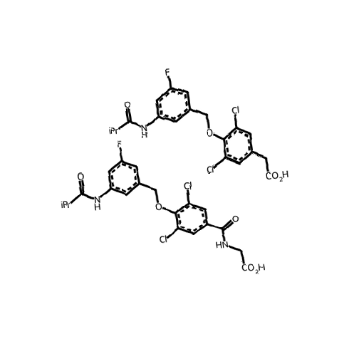 CC(C)C(=O)Nc1cc(F)cc(COc2c(Cl)cc(C(=O)NCC(=O)O)cc2Cl)c1.CC(C)C(=O)Nc1cc(F)cc(COc2c(Cl)cc(CC(=O)O)cc2Cl)c1